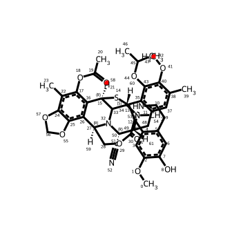 COc1cc2c(cc1O)CCN[C@]21CS[C@@H]2c3c(OC(C)=O)c(C)c4c(c3[C@H](COC1=O)N1C2[C@@H]2c3c(cc(C)c(OC)c3OC(C)C)C[C@H]([C@@H]1C#N)N2C)OCO4